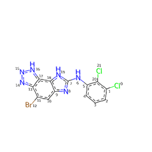 Clc1cccc(Nc2nc3cc(Br)c4nn[nH]c4c3[nH]2)c1Cl